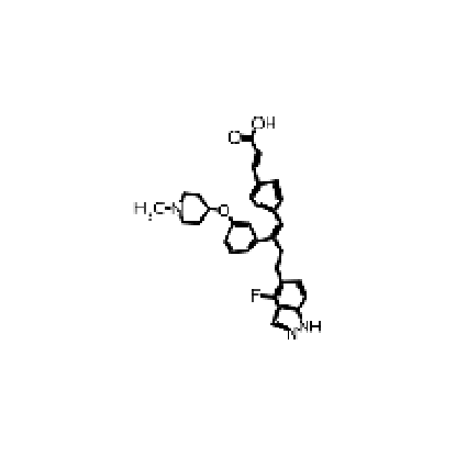 CN1CCC(Oc2cccc(C(=Cc3ccc(C=CC(=O)O)cc3)CCc3ccc4[nH]ncc4c3F)c2)CC1